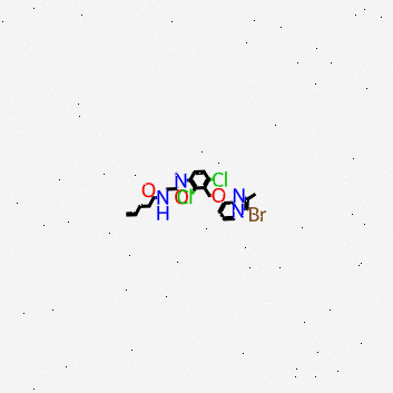 C=CCCC(=O)NCC(=O)N(C)c1ccc(Cl)c(COc2cccn3c(Br)c(C)nc23)c1Cl